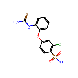 NC(=S)Nc1ccccc1Oc1ccc(S(N)(=O)=O)c(Cl)c1